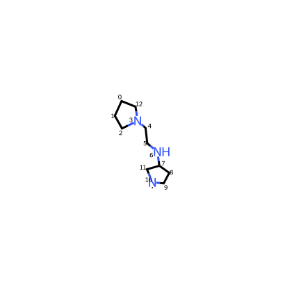 C1CCN(CCNC2CC[N]C2)C1